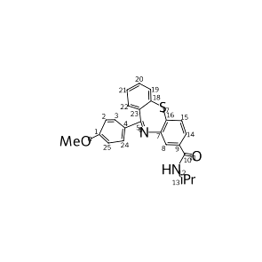 COc1ccc(C2=Nc3cc(C(=O)NC(C)C)ccc3Sc3ccccc32)cc1